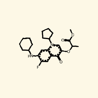 COC(=O)C(C)Oc1cn(C2CCCC2)c2cc(NC3CCCCC3)c(F)cc2c1=O